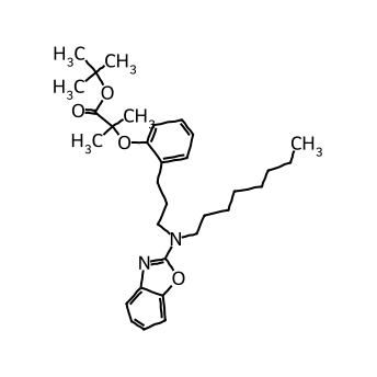 CCCCCCCCN(CCCc1ccccc1OC(C)(C)C(=O)OC(C)(C)C)c1nc2ccccc2o1